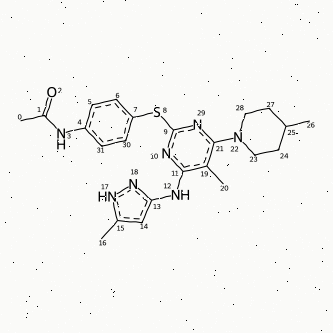 CC(=O)Nc1ccc(Sc2nc(Nc3cc(C)[nH]n3)c(C)c(N3CCC(C)CC3)n2)cc1